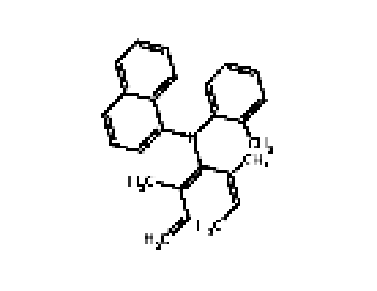 C=C/C(C)=C(\C(C)=C/C)N(c1ccccc1C)c1cccc2ccccc12